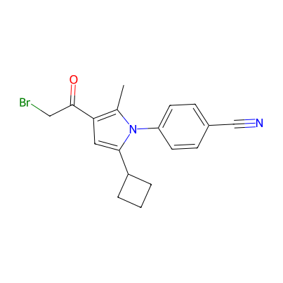 Cc1c(C(=O)CBr)cc(C2CCC2)n1-c1ccc(C#N)cc1